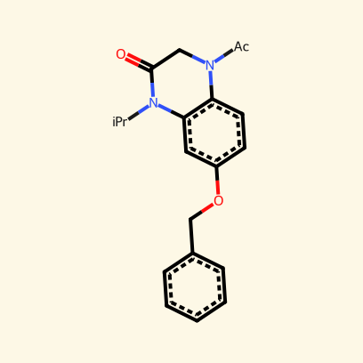 CC(=O)N1CC(=O)N(C(C)C)c2cc(OCc3ccccc3)ccc21